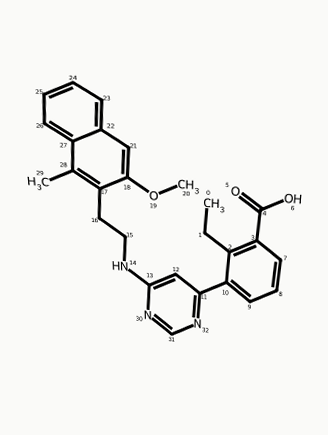 CCc1c(C(=O)O)cccc1-c1cc(NCCc2c(OC)cc3ccccc3c2C)ncn1